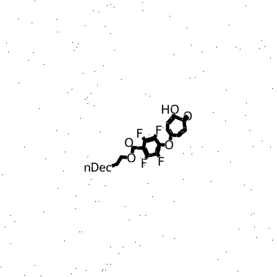 CCCCCCCCCCCCOC(=O)c1c(F)c(F)c(Oc2ccc(O)c(=O)cc2)c(F)c1F